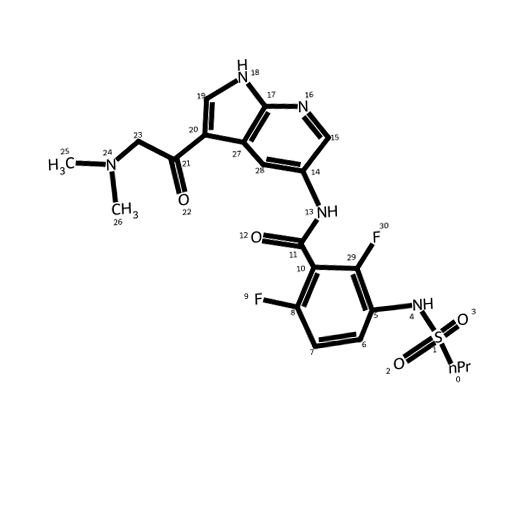 CCCS(=O)(=O)Nc1ccc(F)c(C(=O)Nc2cnc3[nH]cc(C(=O)CN(C)C)c3c2)c1F